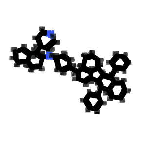 c1ccc(-c2c3c(c(-c4ccccc4)c4ccccc24)-c2ccc(-c4ccc(-n5c6cnccc6c6c7ccccc7ccc65)cc4)c4cccc-3c24)cc1